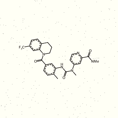 CNC(=O)c1cc(N(C)C(=O)Nc2cc(C(=O)N3CCCc4ccc(C(F)(F)F)cc43)ccc2C)ccn1